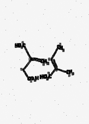 C=C(CC(=O)O)C(=O)O.CC=C(C)C(=O)O